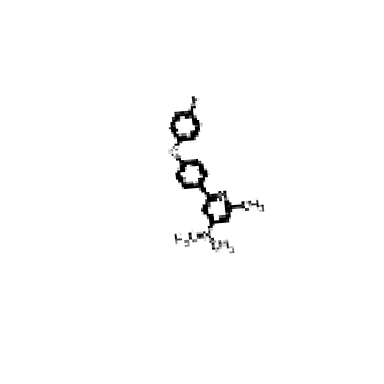 Cc1cc(N(C)C)cc(-c2ccc(Oc3ccc(F)cc3)cc2)n1